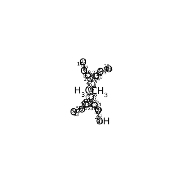 CC(C)(C1CCC(c2ccc(OCC3CO3)cc2)(c2ccc(OCC3CO3)cc2)CC1)C1CCC(c2ccc(OCCCO)cc2)(c2ccc(OC[C@H]3CO3)cc2)CC1